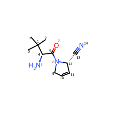 CC(C)(C)[C@H](N)C(=O)N1CC=C[C@H]1C#N